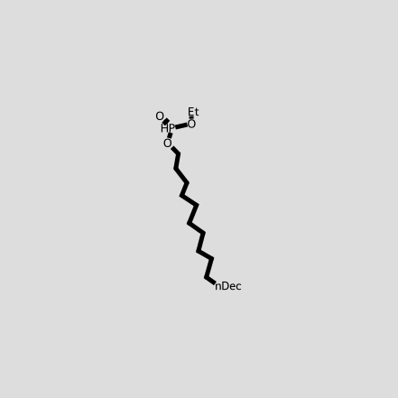 CCCCCCCCCCCCCCCCCCCCO[PH](=O)OCC